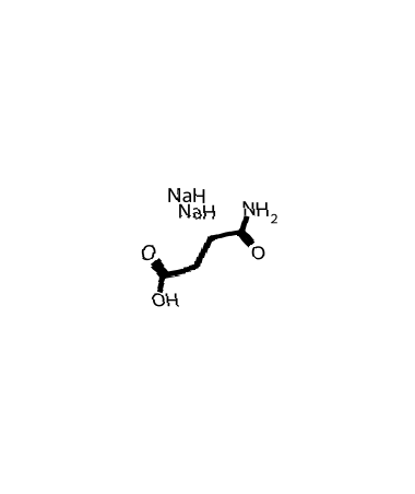 NC(=O)CCC(=O)O.[NaH].[NaH]